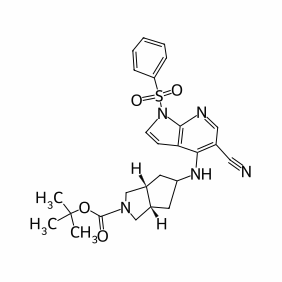 CC(C)(C)OC(=O)N1C[C@H]2CC(Nc3c(C#N)cnc4c3ccn4S(=O)(=O)c3ccccc3)C[C@H]2C1